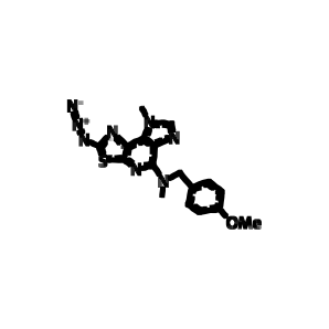 COc1ccc(CN(C)c2nc3sc(N=[N+]=[N-])nc3c3c2ncn3C)cc1